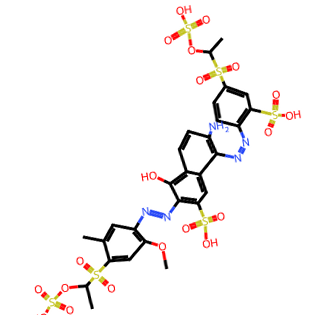 COc1cc(S(=O)(=O)C(C)OS(=O)(=O)O)c(C)cc1N=Nc1c(S(=O)(=O)O)cc2c(/N=N\c3ccc(S(=O)(=O)C(C)OS(=O)(=O)O)cc3S(=O)(=O)O)c(N)ccc2c1O